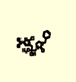 CC(O)(CN1CCN(Cc2ccccc2)C1=O)Cn1cc([N+](=O)[O-])nc1Cl